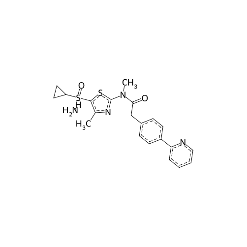 Cc1nc(N(C)C(=O)Cc2ccc(-c3ccccn3)cc2)sc1[SH](N)(=O)C1CC1